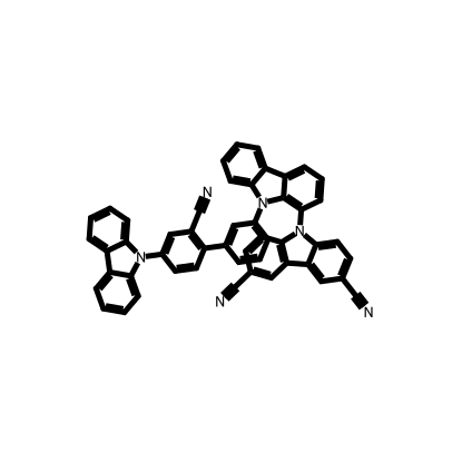 N#Cc1ccc2c(c1)c1cc(C#N)ccc1n2-c1cccc2c3ccccc3n(-c3cccc(-c4ccc(-n5c6ccccc6c6ccccc65)cc4C#N)c3)c12